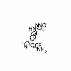 Cc1cc(-c2ccn3nc(Nc4cc(C)c(=O)n(C)n4)cc3c2)c(OC[C@](C)(N)C(F)(F)F)cn1